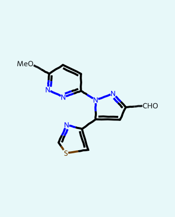 COc1ccc(-n2nc(C=O)cc2-c2cscn2)nn1